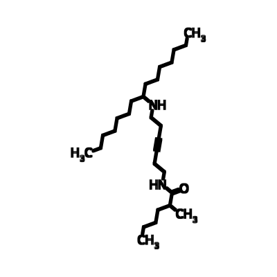 CCCCCCCC(CCCCCCC)NCCC#CCCNC(=O)C(C)CCCC